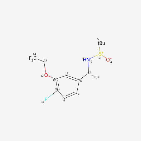 C[C@@H](N[S+]([O-])C(C)(C)C)c1ccc(F)c(OCC(F)(F)F)c1